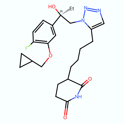 CC[C@](O)(Cn1nncc1CCCCC1CCC(=O)NC1=O)c1ccc(F)c(OCC2CC2)c1